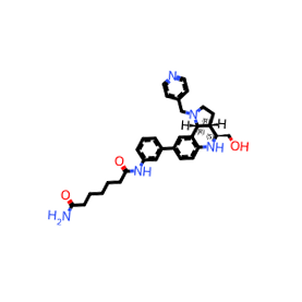 NC(=O)CCCCCC(=O)Nc1cccc(-c2ccc3c(c2)[C@H]2[C@H](CCN2Cc2ccncc2)[C@@H](CO)N3)c1